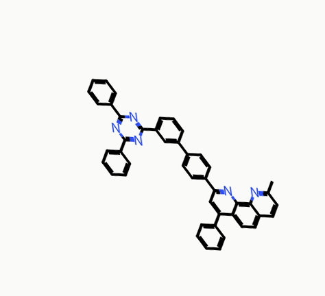 Cc1ccc2ccc3c(-c4ccccc4)cc(-c4ccc(-c5cccc(-c6nc(-c7ccccc7)nc(-c7ccccc7)n6)c5)cc4)nc3c2n1